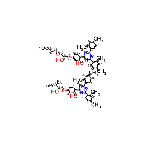 CCCC(CC)C(O)COc1ccc(-c2nc(-c3ccc(C)cc3C)nc(-c3ccc(C)cc3C)n2)c(O)c1.CCCCCCCCCCCCOCC(O)COc1ccc(-c2nc(-c3ccc(C)cc3C)nc(-c3ccc(C)cc3C)n2)c(O)c1